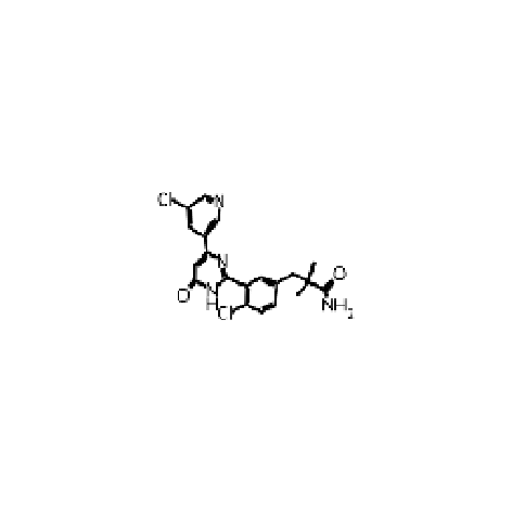 CC(C)(Cc1ccc(Cl)c(-c2nc(-c3cncc(Cl)c3)cc(=O)[nH]2)c1)C(N)=O